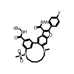 CNC(=O)c1c(-c2ccc(F)cc2)oc2cc3c(cc12)-c1cc(C(=O)NC(C)(C)C)cc(c1)N(S(C)(=O)=O)CCCCCN3C